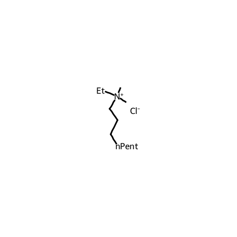 CCCCCCCC[N+](C)(C)CC.[Cl-]